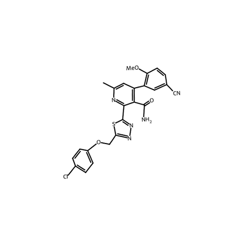 COc1ccc(C#N)cc1-c1cc(C)nc(-c2nnc(COc3ccc(Cl)cc3)s2)c1C(N)=O